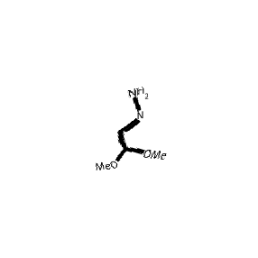 COC(/C=N/N)OC